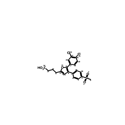 CS(=O)(=O)c1ccc(-c2nc(CCCC(=O)O)oc2-c2ccc(Cl)c(Cl)c2)cc1